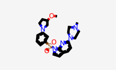 COC1CCN(c2cccc(S(=O)(=O)n3ccc4ccc(N5CCN(C)CC5)nc43)c2)C1